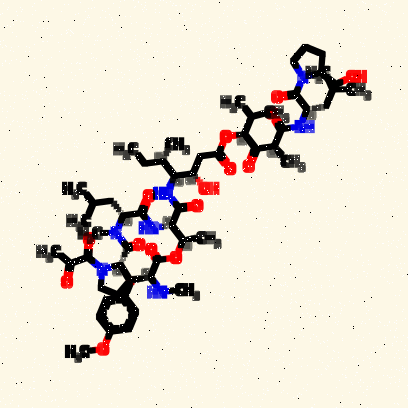 CC[C@H](C)[C@H](NC(=O)[C@@H](NC(=O)[C@@H](CC(C)C)N(C)C(=O)[C@@H]1CCCN1C(=O)C(C)=O)[C@@H](C)OC(=O)[C@H](Cc1ccc(OC)cc1)NC)[C@@H](O)CC(=O)O[C@H](C(=O)[C@H](C)C(=O)N[C@@H](CC(C)C)C(=O)N1CCC[C@H]1CO)C(C)C